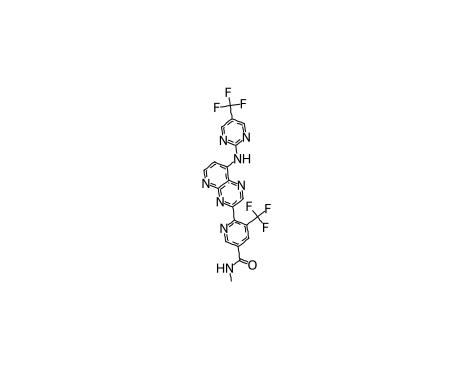 CNC(=O)c1cnc(-c2cnc3c(Nc4ncc(C(F)(F)F)cn4)ccnc3n2)c(C(F)(F)F)c1